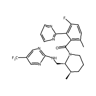 Cc1ccc(F)c(-c2ncccn2)c1C(=O)N1CCC[C@@H](C)[C@H]1CNc1ncc(C(F)(F)F)cn1